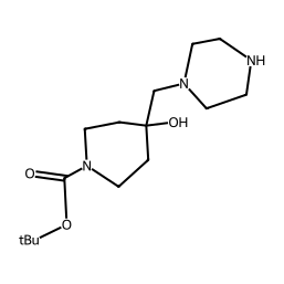 CC(C)(C)OC(=O)N1CCC(O)(CN2CCNCC2)CC1